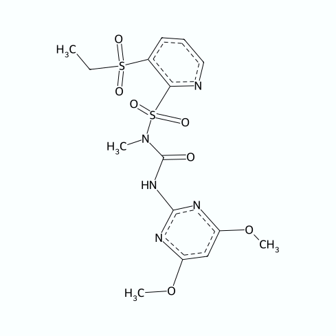 CCS(=O)(=O)c1cccnc1S(=O)(=O)N(C)C(=O)Nc1nc(OC)cc(OC)n1